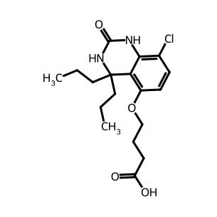 CCCC1(CCC)NC(=O)Nc2c(Cl)ccc(OCCCC(=O)O)c21